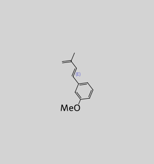 C=C(C)/C=C/c1cccc(OC)c1